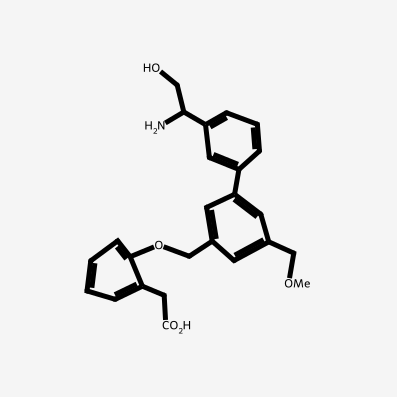 COCc1cc(COc2ccccc2CC(=O)O)cc(-c2cccc(C(N)CO)c2)c1